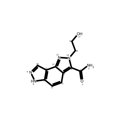 NC(=O)c1c2ccc3[nH]ncc3c2nn1CCO